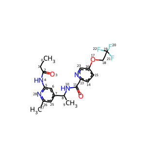 CCC(=O)Nc1cc(C(C)NC(=O)c2ccc(OCC(F)(F)F)cn2)cc(C)n1